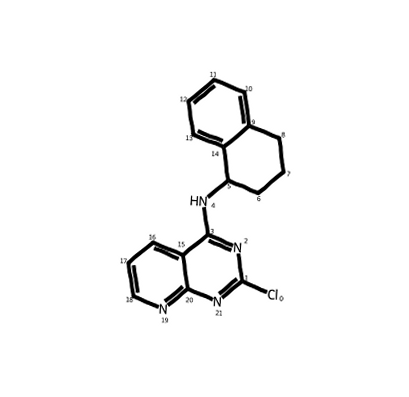 Clc1nc(NC2CCCc3ccccc32)c2cccnc2n1